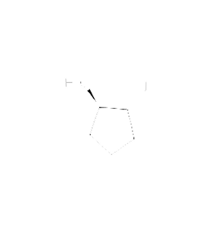 C[C@@H]1CCC[C@H]1I